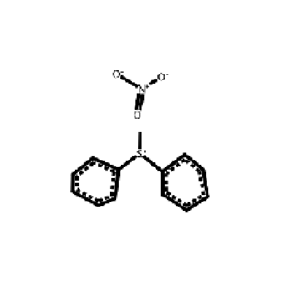 C[S+](c1ccccc1)c1ccccc1.O=[N+]([O-])[O-]